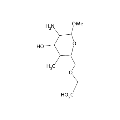 COC1OC(COCC(=O)O)C(C)C(O)C1N